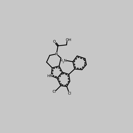 Nc1ccccc1-c1cc(Cl)c(Cl)c2[nH]c3c(c12)CN(C(=O)CO)CC3